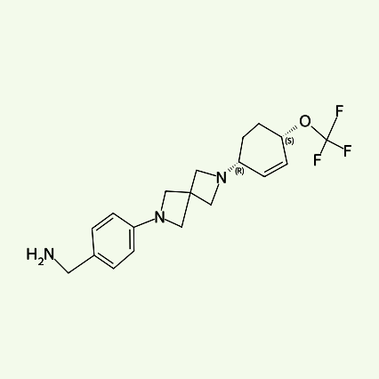 NCc1ccc(N2CC3(C2)CN([C@H]2C=C[C@@H](OC(F)(F)F)CC2)C3)cc1